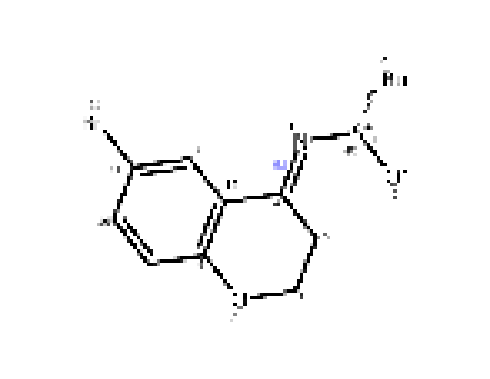 CC(C)(C)[S@+]([O-])/N=C1\CCOc2ccc(Br)cc21